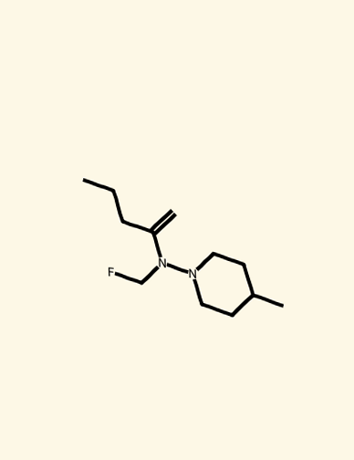 C=C(CCC)N(CF)N1CCC(C)CC1